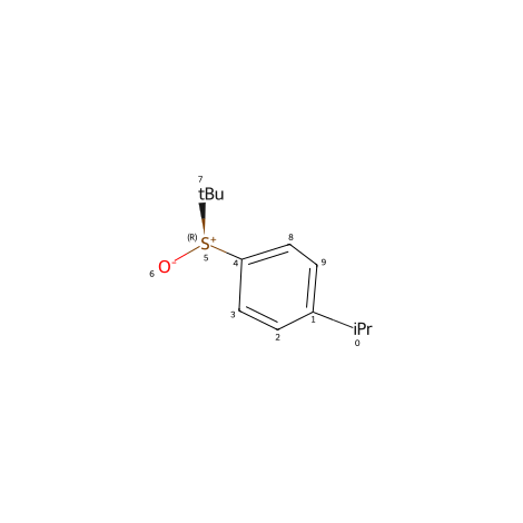 CC(C)c1ccc([S@@+]([O-])C(C)(C)C)cc1